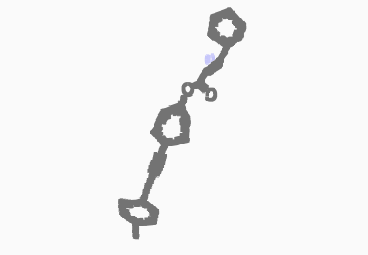 Cc1ccc(C#Cc2ccc(OC(=O)/C=C/c3ccccc3)cc2)cc1